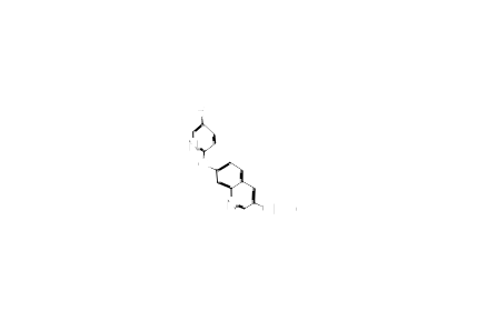 O=Cc1cnc2cc(Oc3ccc(Br)cn3)ccc2c1